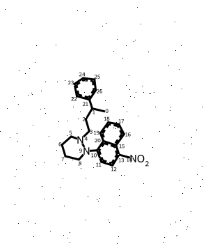 CC(CCN1CCCCN1c1ccc([N+](=O)[O-])c2ccccc12)c1ccccc1